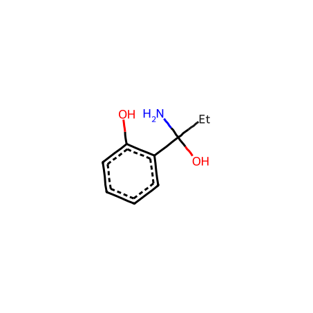 CCC(N)(O)c1ccccc1O